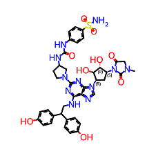 CN1CC(=O)N([C@H]2C[C@@H](n3cnc4c(NCC(c5ccc(O)cc5)c5ccc(O)cc5)nc(N5CCC(NC(=O)Nc6ccc(S(N)(=O)=O)cc6)C5)nc43)C(O)[C@@H]2O)C1=O